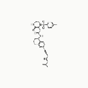 Cc1ccc(S(=O)(=O)N2CCNC(=O)C2CC(=O)N[C@@H]2CCCc3cc(C#CCNCC(C)C)ccc32)cc1